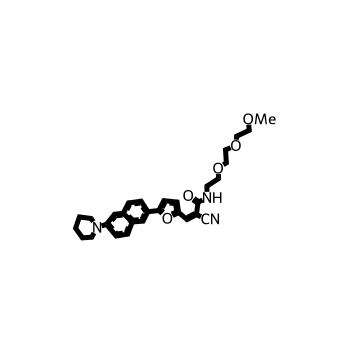 COCCOCCOCCNC(=O)/C(C#N)=C\c1ccc(-c2ccc3cc(N4CCCCC4)ccc3c2)o1